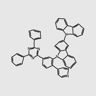 c1ccc(-c2nc(-c3ccccc3)nc(-c3ccc(-c4ccncc4)c(-n4c5ccccc5c5cc(-n6c7ccccc7c7ccccc76)ccc54)c3)n2)cc1